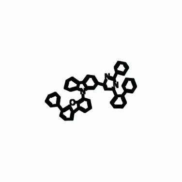 c1ccc(-c2nc(-c3ccc4c5ccccc5n(-c5cccc6c5oc5c(-c7ccccc7)cccc56)c4c3)cc(-c3ccccc3-c3ccccc3)n2)cc1